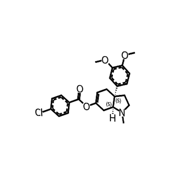 COc1ccc([C@@]23CC=C(OC(=O)c4ccc(Cl)cc4)C[C@@H]2N(C)CC3)cc1OC